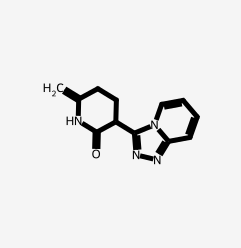 C=C1CCC(c2nnc3ccccn23)C(=O)N1